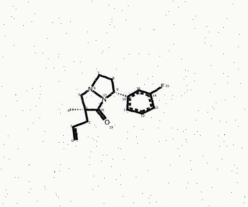 C=CC[C@@]1(C)CN2CC[C@H](c3cccc(F)c3)N2C1=O